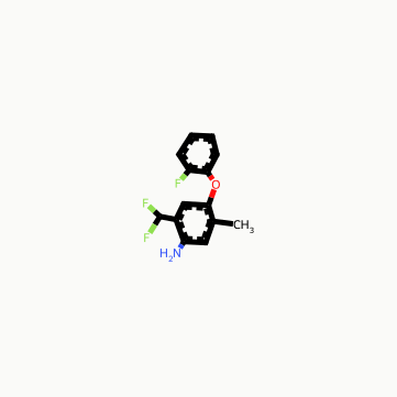 Cc1cc(N)c(C(F)F)cc1Oc1ccccc1F